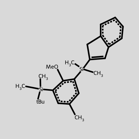 COc1c([Si](C)(C)C2=Cc3ccccc3C2)cc(C)cc1[Si](C)(C)C(C)(C)C